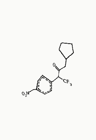 O=C(CC1CCCC1)C(c1ccc([N+](=O)[O-])cc1)C(F)(F)F